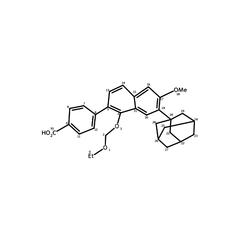 CCOCOc1c(-c2ccc(C(=O)O)cc2)ccc2cc(OC)c(C34CC5CC(CC(C5)C3)C4)cc12